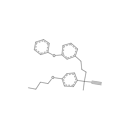 C#CC(C)(CCCc1cccc(Oc2ccccc2)c1)c1ccc(OCCCC)cc1